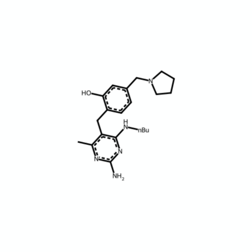 CCCCNc1nc(N)nc(C)c1Cc1ccc(CN2CCCC2)cc1O